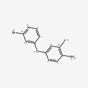 Nc1ccc(Oc2ccnc(Br)c2)cc1F